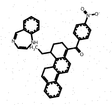 C1=CNc2ccccc2C=N1.CCC1CCC(C(=O)c2ccc([N+](=O)[O-])cc2)=c2ccc3c(c21)CC=c1ccccc1=3